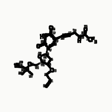 C=CCOC1C[C@@H](n2cc(C#CCNC(=O)C(F)(F)F)c(=O)[nH]c2=O)O[C@H]1CO[Si](C)(C)C(C)(C)C